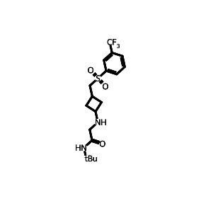 CC(C)(C)NC(=O)CNC1CC(CS(=O)(=O)c2cccc(C(F)(F)F)c2)C1